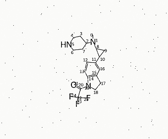 CN(C1CCNCC1)C1CC1c1ccc2c(c1)CCN2C(=O)C(F)(F)F